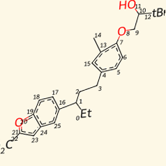 CCC(CCc1ccc(OCC(O)C(C)(C)C)c(C)c1)c1ccc2oc(C(=O)O)cc2c1